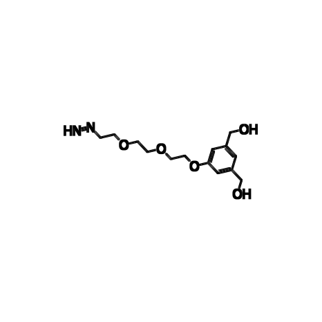 N=NCCOCCOCCOc1cc(CO)cc(CO)c1